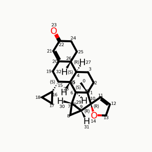 C[C@]12CC[C@H]3[C@H]([C@@H]1[C@H]1C[C@H]1[C@@]21C=CCO1)[C@H](C1CC1)CC1=CC(=O)CC[C@@H]13